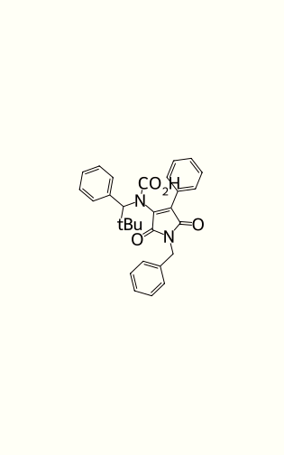 CC(C)(C)C(c1ccccc1)N(C(=O)O)C1=C(c2ccccc2)C(=O)N(Cc2ccccc2)C1=O